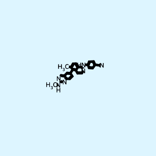 CNc1ncc2cc(-c3c(C)ccc4c(Nc5ccc(C#N)cc5)nccc34)ccc2n1